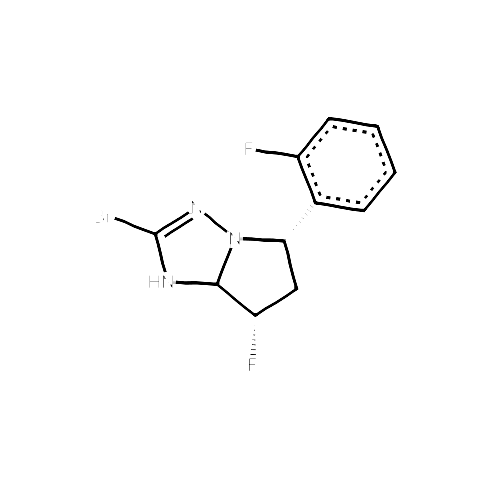 Fc1ccccc1[C@@H]1C[C@H](F)C2NC(Br)=NN21